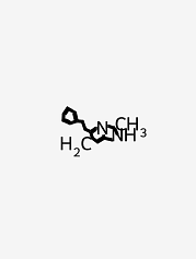 C=C1C=C2CNC(C)CN2C=C1CCc1ccccc1